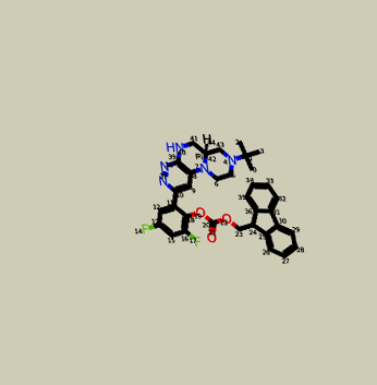 CC(C)(C)N1CCN2c3cc(-c4cc(F)cc(F)c4OC(=O)OCC4c5ccccc5-c5ccccc54)nnc3NC[C@@H]2C1